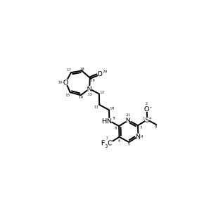 C[S+]([O-])c1ncc(C(F)(F)F)c(NCCCN2C=COC=CC2=O)n1